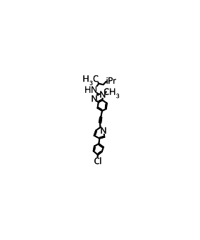 CC(C)CC(C)Nc1nc2cc(C#Cc3ccc(-c4ccc(Cl)cc4)cn3)ccc2n1C